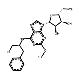 CCCOc1nc(N[C@H](CO)Cc2ccccc2)c2ncn([C@@H]3O[C@H](CO)[C@@H](O)[C@H]3O)c2n1